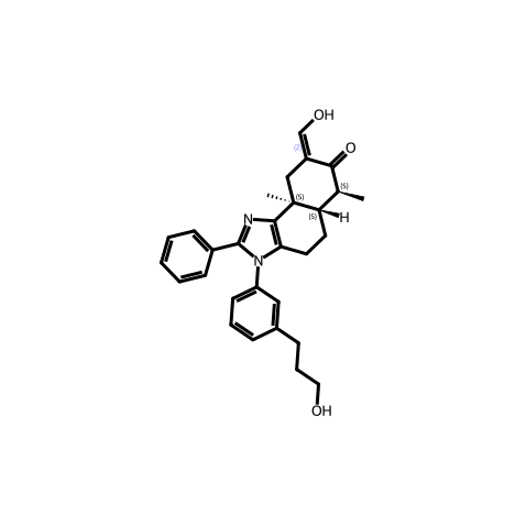 C[C@@H]1C(=O)/C(=C\O)C[C@]2(C)c3nc(-c4ccccc4)n(-c4cccc(CCCO)c4)c3CC[C@@H]12